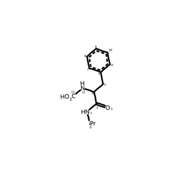 CC(C)NC(=O)C(Cc1ccccc1)NC(=O)O